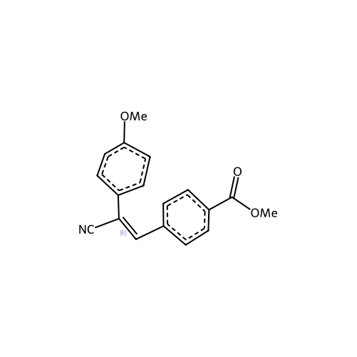 COC(=O)c1ccc(/C=C(/C#N)c2ccc(OC)cc2)cc1